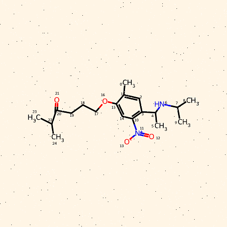 Cc1cc(C(C)NC(C)C)c([N+](=O)[O-])cc1OCCCC(=O)C(C)C